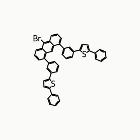 Brc1c2cccc(-c3cccc(-c4ccc(-c5ccccc5)s4)c3)c2cc2c(-c3cccc(-c4ccc(-c5ccccc5)s4)c3)cccc12